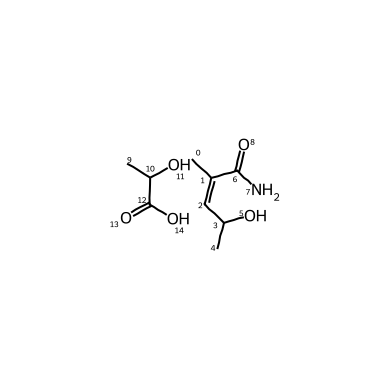 CC(=CC(C)O)C(N)=O.CC(O)C(=O)O